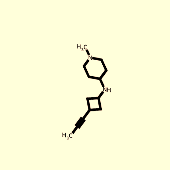 CC#CC1CC(NC2CCN(C)CC2)C1